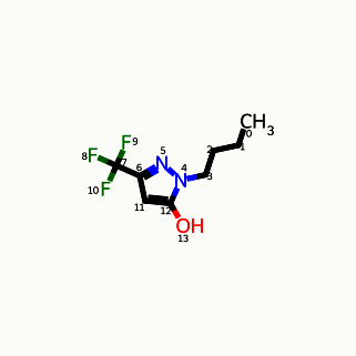 CCCCn1nc(C(F)(F)F)cc1O